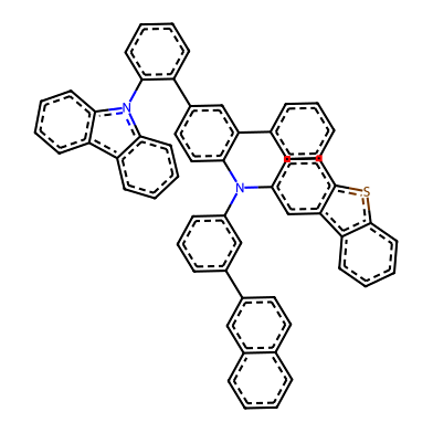 c1ccc(-c2cc(-c3ccccc3-n3c4ccccc4c4ccccc43)ccc2N(c2cccc(-c3ccc4ccccc4c3)c2)c2ccc3sc4ccccc4c3c2)cc1